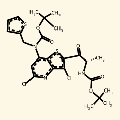 C[C@H](NC(=O)OC(C)(C)C)C(=O)c1sc2c(N(Cc3cccs3)C(=O)OC(C)(C)C)cc(Cl)nc2c1Cl